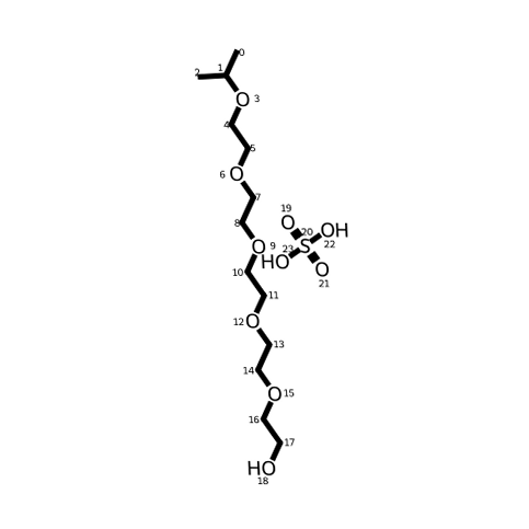 CC(C)OCCOCCOCCOCCOCCO.O=S(=O)(O)O